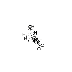 CCc1cc(OC)ccc1-c1ccc(CC(NC(=O)OCC2c3ccccc3-c3ccccc32)C(=O)OC(C)(C)C)cn1